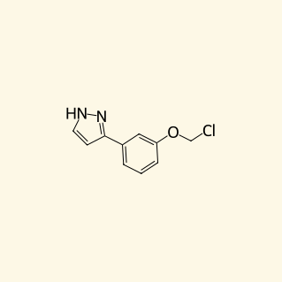 ClCOc1cccc(-c2cc[nH]n2)c1